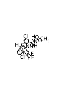 COC(=O)NNC(=O)c1cc(Cl)cc(C)c1NC(=O)c1cc(C(F)(F)F)nn1-c1ncccc1Cl